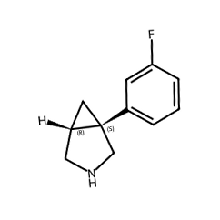 Fc1cccc([C@@]23CNC[C@@H]2C3)c1